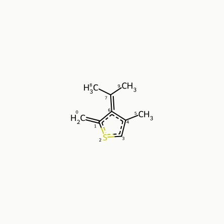 C=c1scc(C)c1=C(C)C